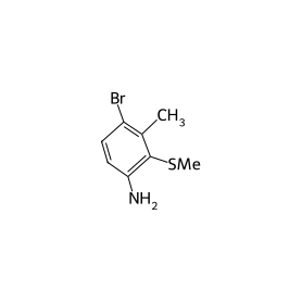 CSc1c(N)ccc(Br)c1C